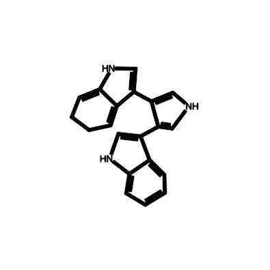 C1=c2[nH]cc(-c3c[nH]cc3-c3c[nH]c4ccccc34)c2=CCC1